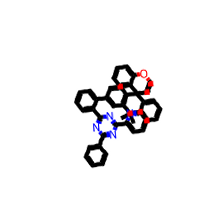 CC1(C)c2ccccc2C2(c3ccccc3Oc3ccccc32)c2ccc(-c3ccccc3-c3nc(-c4ccccc4)nc(-c4ccccn4)n3)cc21